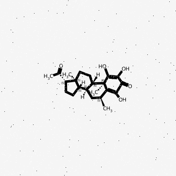 CC(=O)[C@H]1CC[C@H]2[C@@H]3C[C@H](C)C4=C(O)C(=O)C(O)=C(O)[C@]4(C)[C@H]3CC[C@]12C